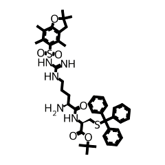 Cc1c(C)c(S(=O)(=O)NC(=N)NCCC[C@H](N)C(=O)N[C@@H](CSC(c2ccccc2)(c2ccccc2)c2ccccc2)C(=O)OC(C)(C)C)c(C)c2c1OC(C)(C)C2